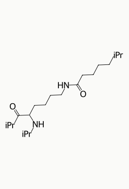 CC(C)CCCCC(=O)NCCCCC(NC(C)C)C(=O)C(C)C